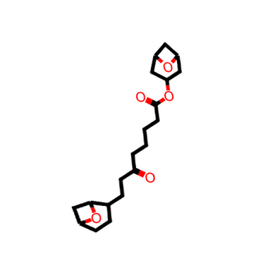 O=C(CCCCC(=O)OC1CC2CC(C1)O2)CCC1CCC2CC1O2